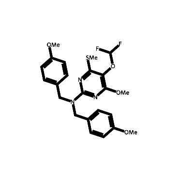 COc1ccc(CN(Cc2ccc(OC)cc2)c2nc(OC)c(OC(F)F)c(SC)n2)cc1